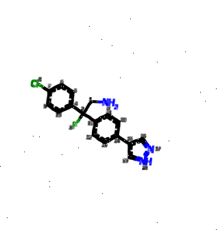 NCC(F)(c1ccc(Cl)cc1)c1ccc(-c2cn[nH]c2)cc1